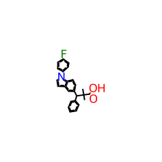 CC(C)(C(=O)O)C(c1ccccc1)c1ccc2c(ccn2-c2ccc(F)cc2)c1